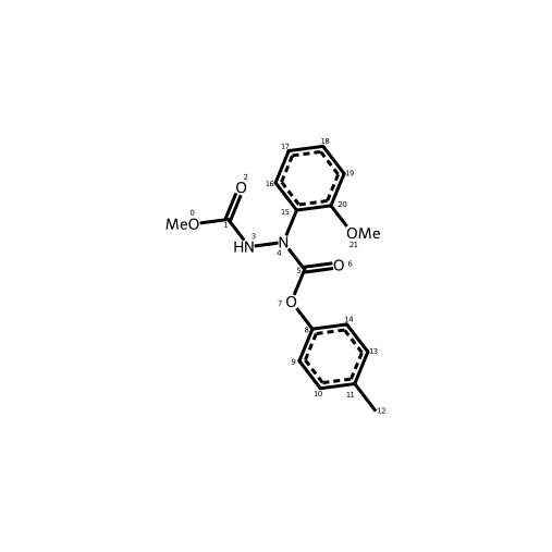 COC(=O)NN(C(=O)Oc1ccc(C)cc1)c1ccccc1OC